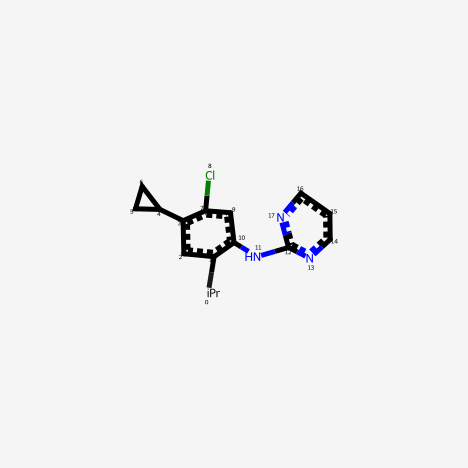 CC(C)c1cc(C2CC2)c(Cl)cc1Nc1ncccn1